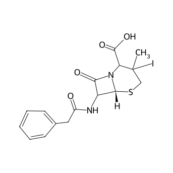 CC1(I)CS[C@@H]2C(NC(=O)Cc3ccccc3)C(=O)N2C1C(=O)O